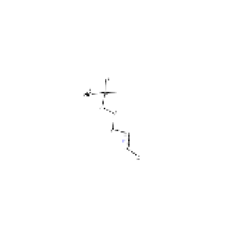 C/C=C/CCCC(C)(C)C#N